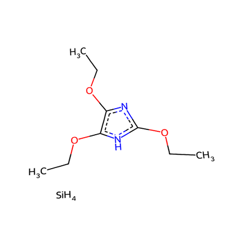 CCOc1nc(OCC)c(OCC)[nH]1.[SiH4]